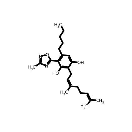 CCCCCc1cc(O)c(CC=C(C)CCC=C(C)C)c(O)c1-c1nc(C)no1